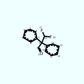 O=CC(c1ccccc1)(c1ccccc1)C(F)F